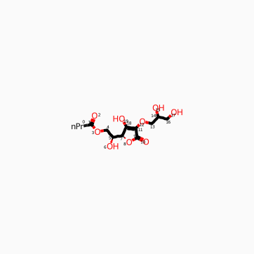 CCCC(=O)OC[C@H](O)[C@H]1OC(=O)C(OCC(O)CO)=C1O